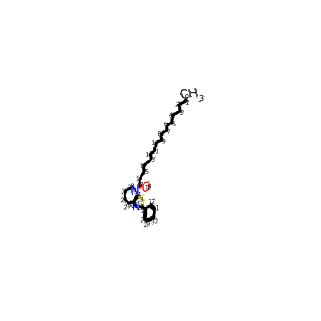 CCCCCCCCCCCCCCCCCC(=O)N1CCCCc2nc(-c3ccccc3)sc21